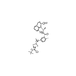 Cc1ccc(N(C)C2CN(C(=O)OC(C)(C)C)C2)cc1C(=O)N[C@H](C)c1c(O)ccc2ccccc12